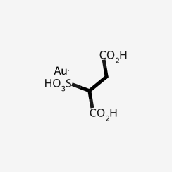 O=C(O)CC(C(=O)O)S(=O)(=O)O.[Au]